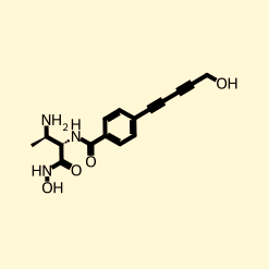 C[C@@H](N)[C@H](NC(=O)c1ccc(C#CC#CCO)cc1)C(=O)NO